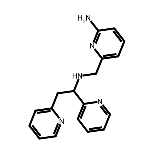 Nc1cccc(CNC(Cc2ccccn2)c2ccccn2)n1